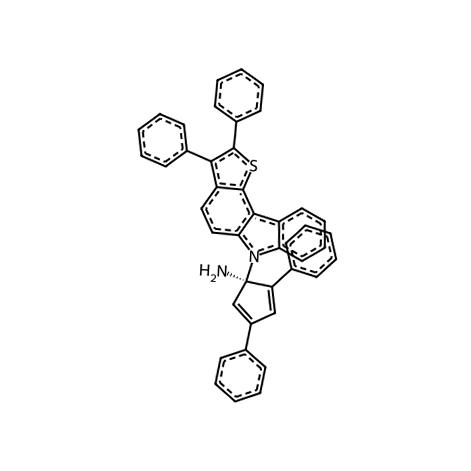 N[C@@]1(n2c3ccccc3c3c4sc(-c5ccccc5)c(-c5ccccc5)c4ccc32)C=C(c2ccccc2)C=C1c1ccccc1